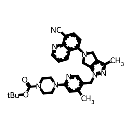 Cc1cc(N2CCN(C(=O)OC(C)(C)C)CC2)ncc1Cn1nc(C)c2c1CN(c1ccc(C#N)c3ncccc13)C2